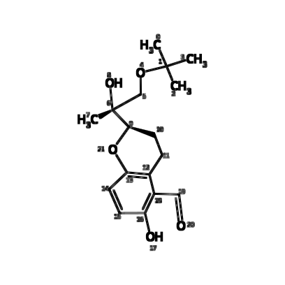 CC(C)(C)OC[C@@](C)(O)[C@H]1CCc2c(ccc(O)c2C=O)O1